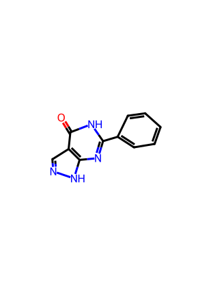 O=c1[nH]c(-c2ccccc2)nc2[nH]ncc12